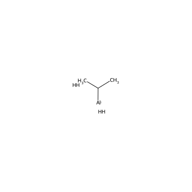 C[CH](C)[Al].[HH].[HH]